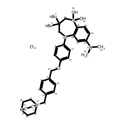 CCCCC1(CCCC)CN(c2ccc(OCc3ccc(C[N+]45CCN(CC4)CC5)cc3)cc2)c2cc(N(C)C)ccc2S(O)(O)C1.[Cl-]